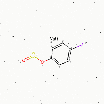 O=[SH]Oc1ccc(I)cc1.[NaH]